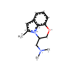 CCN(CC)CC1COc2cccc3cc(C)n1c23